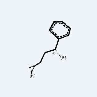 CC(C)NCC[C@@H](O)c1ccccc1